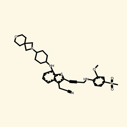 COc1cc(S(C)(=O)=O)ccc1NCC#Cc1sc2c(NC3CCC(N4CC5(CCOCC5)C4)CC3)cccc2c1CC#N